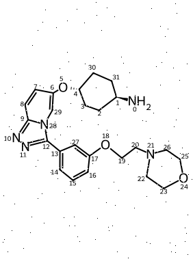 N[C@H]1CC[C@H](Oc2ccc3nnc(-c4cccc(OCCN5CCOCC5)c4)n3c2)CC1